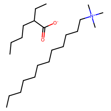 CCCCC(CC)C(=O)[O-].CCCCCCCCCCCC[N+](C)(C)C